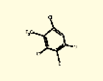 FC(F)(F)c1c(Cl)cc(Cl)c(Cl)c1Cl